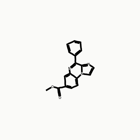 COC(=O)c1ccc2c(c1)nc(-c1ccccc1)c1nccn12